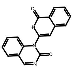 O=C1[N]C(n2c(=O)ncc3ccccc32)=Cc2ccccc21